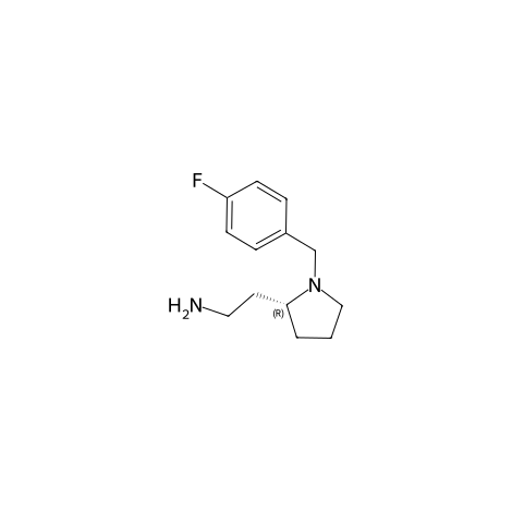 NCC[C@H]1CCCN1Cc1ccc(F)cc1